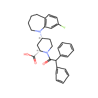 O=C(O)[C@@H]1C[C@H](N2CCCCc3ccc(F)cc32)CCN1C(=O)C(c1ccccc1)c1ccccc1